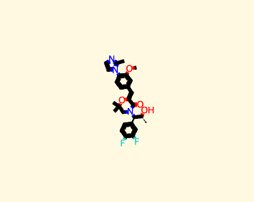 COc1cc(/C=C2\OC(C)(C)CN([C@H](c3ccc(F)c(F)c3)[C@@H](C)O)C2=O)ccc1-n1ccnc1C